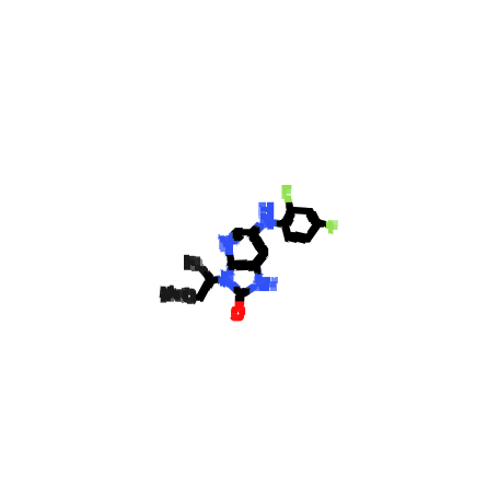 CCC(COC)n1c(=O)[nH]c2cc(Nc3ccc(F)cc3F)cnc21